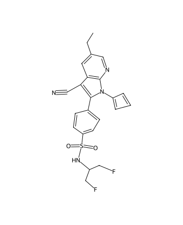 CCc1cnc2c(c1)c(C#N)c(-c1ccc(S(=O)(=O)NC(CF)CF)cc1)n2C1=CC=C1